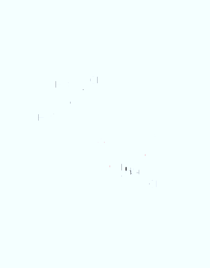 CCCc1c(C(C)(C)C)ccc2c(CC)c(O[SiH](C)C)c(=O)oc12